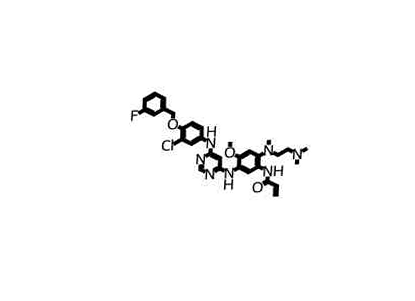 C=CC(=O)Nc1cc(Nc2cc(Nc3ccc(OCc4cccc(F)c4)c(Cl)c3)ncn2)c(OC)cc1N(C)CCN(C)C